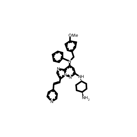 COc1ccc(CN(c2ccccc2)c2cc(N[C@H]3CC[C@H](N)CC3)nn3c(/C=C/c4ccncc4)cnc23)cc1